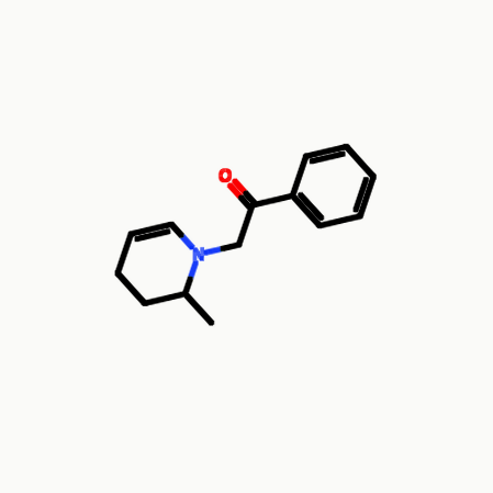 CC1CCC=CN1CC(=O)c1ccccc1